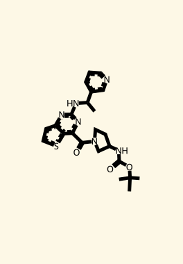 CC(Nc1nc(C(=O)N2CCC(NC(=O)OC(C)(C)C)C2)c2sccc2n1)c1cccnc1